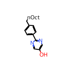 CCCCCCCCCc1ccc(-c2ncc(O)cn2)cc1